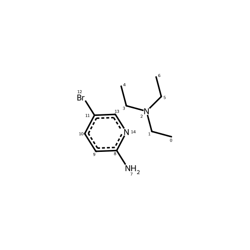 CCN(CC)CC.Nc1ccc(Br)cn1